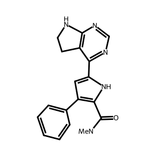 CNC(=O)c1[nH]c(-c2ncnc3c2CCN3)cc1-c1ccccc1